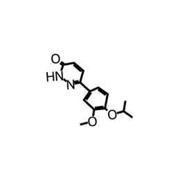 COc1cc(-c2ccc(=O)[nH]n2)ccc1OC(C)C